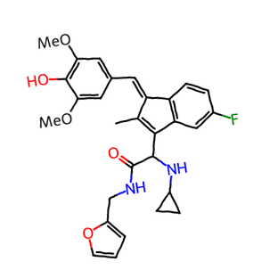 COc1cc(C=C2C(C)=C(C(NC3CC3)C(=O)NCc3ccco3)c3cc(F)ccc32)cc(OC)c1O